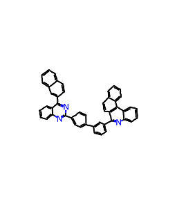 c1cc(-c2ccc(-c3nc(-c4ccc5ccccc5c4)c4ccccc4n3)cc2)cc(-c2nc3ccccc3c3c2ccc2ccccc23)c1